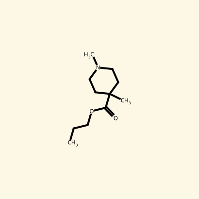 CCCOC(=O)C1(C)CCN(C)CC1